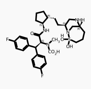 CN(C(=O)O)[C@H](C(=O)N[C@H]1CCC[C@@H]1CC[C@H]1CN[C@@H]2CCCS(O)(O)N1C2)C(c1ccc(F)cc1)c1ccc(F)cc1